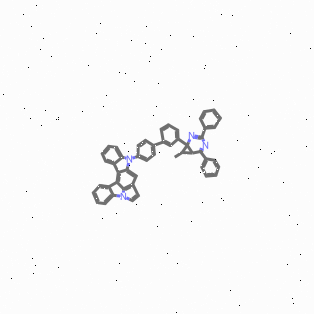 CC1C2C(c3ccccc3)=NC(c3ccccc3)=NC12c1cccc(-c2ccc(-n3c4ccccc4c4c5c6ccccc6n6ccc(cc43)c56)cc2)c1